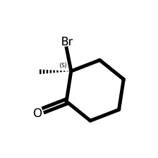 C[C@]1(Br)CCCCC1=O